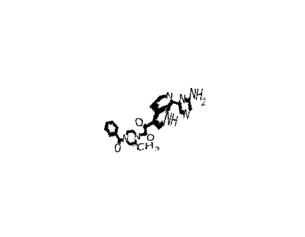 C[C@@H]1CN(C(=O)c2ccccc2)CCN1C(=O)C(=O)c1c[nH]c2c(-c3cncc(N)n3)nccc12